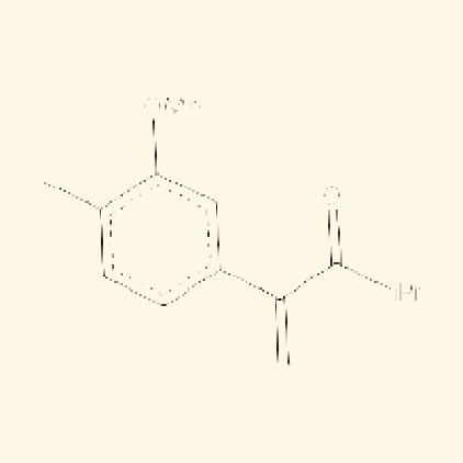 C=C(C(=O)C(C)C)c1ccc(C)c(OC)c1